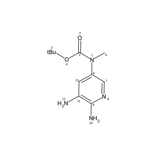 CN(C(=O)OC(C)(C)C)c1cnc(N)c(N)c1